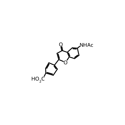 CC(=O)Nc1ccc2oc(-c3ccc(C(=O)O)cc3)cc(=O)c2c1